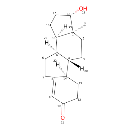 C[C@]12CC[C@H]3[C@@H](CCC4=CC(=O)CC[C@@H]43)[C@H]1CC[C@@H]2O